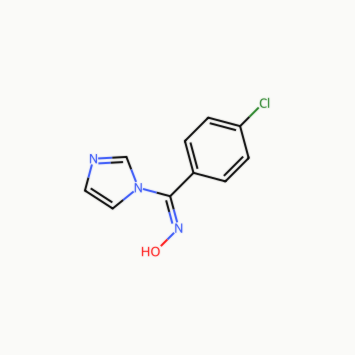 ON=C(c1ccc(Cl)cc1)n1ccnc1